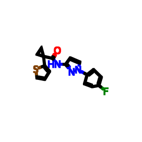 O=C(Nc1ccn(-c2ccc(F)cc2)n1)C1(c2cccs2)CC1